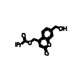 CC(C)C(=O)OCc1cc(=O)oc2cc(CO)ccc12